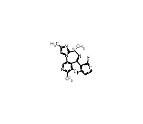 Cc1cn2c(n1)[C@H](C)N=C(c1c(F)cccc1F)c1c-2cnc(C(F)(F)F)c1Cl